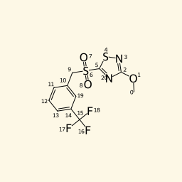 COc1nsc(S(=O)(=O)Cc2cccc(C(F)(F)F)c2)n1